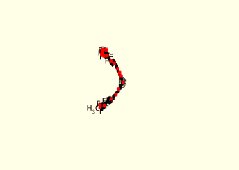 Cc1c(F)cc(/C(F)=C(\F)C2CCC(/C=C/CCCCCCOC(F)(F)OCCCCCC/C=C/C3CCC(/C(F)=C(\F)c4cc(F)c(S(F)(F)(F)(F)F)c(F)c4)CC3)CC2)cc1F